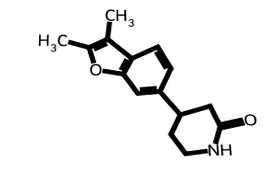 Cc1oc2cc(C3CCNC(=O)C3)ccc2c1C